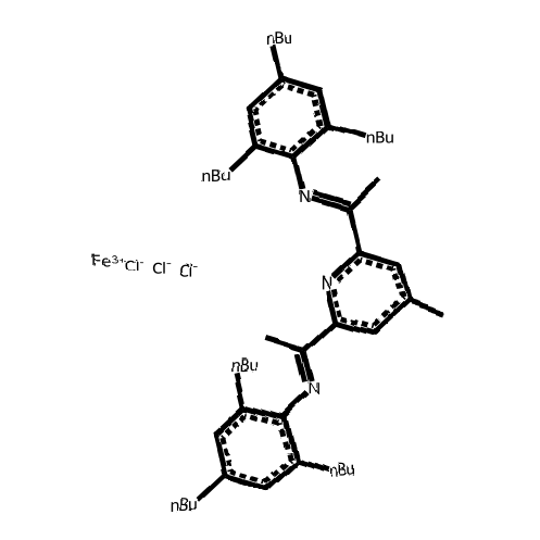 CCCCc1cc(CCCC)c(N=C(C)c2cc(C)cc(C(C)=Nc3c(CCCC)cc(CCCC)cc3CCCC)n2)c(CCCC)c1.[Cl-].[Cl-].[Cl-].[Fe+3]